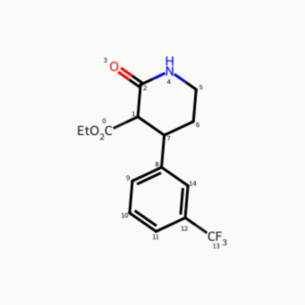 CCOC(=O)C1C(=O)NCCC1c1cccc(C(F)(F)F)c1